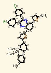 CCCCCCCC[Si]1(CCCCCCCC)c2cc(C)ccc2-c2ccc(-c3ccc(-c4ccc(-c5ccc(C)s5)c5nc(-c6ccc(F)cc6)c(-c6ccc(F)cc6)nc45)s3)cc21